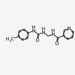 Cc1ccc(NC(=O)NCNC(=O)c2cccnc2)cc1